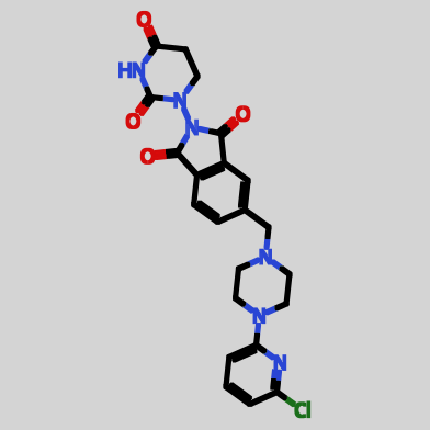 O=C1CCN(N2C(=O)c3ccc(CN4CCN(c5cccc(Cl)n5)CC4)cc3C2=O)C(=O)N1